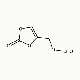 O=COCc1coc(=O)o1